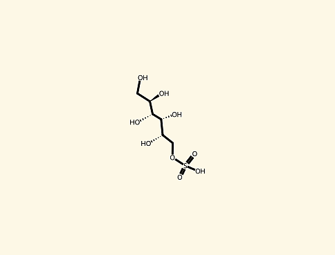 O=S(=O)(O)OC[C@H](O)[C@@H](O)[C@H](O)[C@H](O)CO